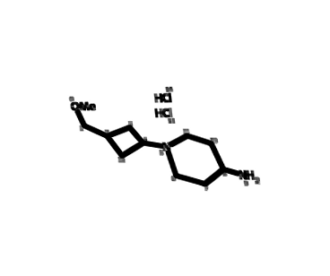 COCC1CC(N2CCC(N)CC2)C1.Cl.Cl